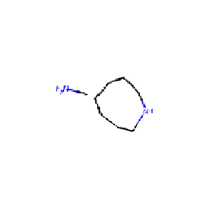 C1CCCNCCC1.CN